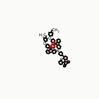 C=Cc1ccc(Oc2ccc(C3(c4ccc(F)cc4)c4ccccc4-c4ccc(N(c5ccc(-c6cccc7c6Oc6ccccc6C76c7ccccc7-c7ccccc76)cc5)c5ccc6c(c5)C(c5ccc(F)cc5)(c5ccc(Oc7ccc(C=C)cc7)cc5)c5ccccc5-6)cc43)cc2)cc1